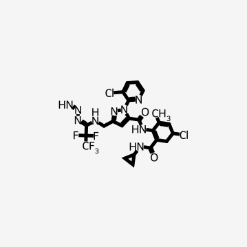 CC1=CC(Cl)CC(C(=O)NC2CC2)=C1NC(=O)c1cc(CN/C(=N\N=N)C(F)(F)C(F)(F)F)nn1-c1ncccc1Cl